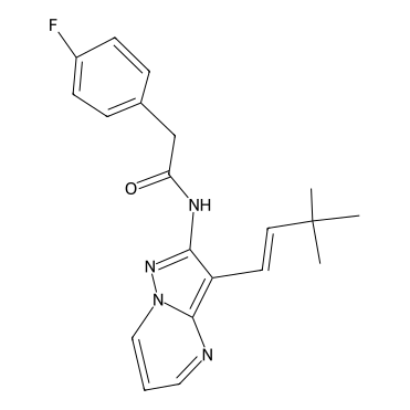 CC(C)(C)C=Cc1c(NC(=O)Cc2ccc(F)cc2)nn2cccnc12